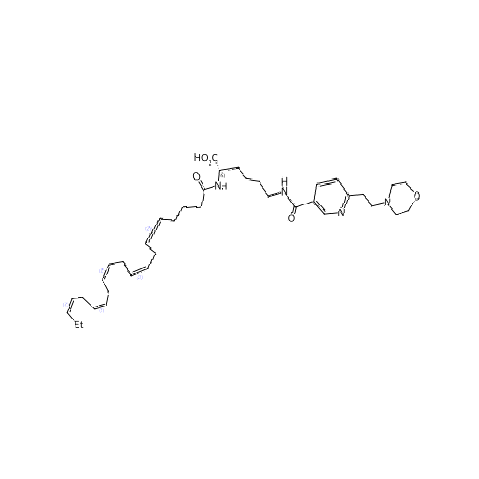 CC/C=C\C/C=C\C/C=C\C/C=C\C/C=C\CCCC(=O)N[C@@H](CCCCNC(=O)c1ccc(CCN2CCOCC2)nc1)C(=O)O